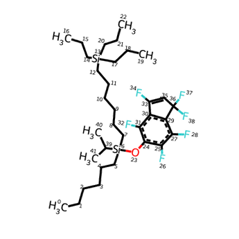 CCCCCC[Si](CCCCCC[Si](CCC)(CCC)CCC)(Oc1c(F)c(F)c2c(c1F)C(F)=[C]C2(F)F)C(C)C